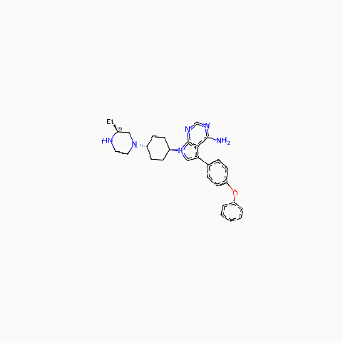 CC[C@H]1CN([C@H]2CC[C@H](n3cc(-c4ccc(Oc5ccccc5)cc4)c4c(N)ncnc43)CC2)CCN1